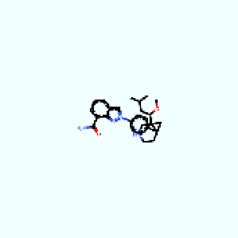 COC(CC(C)C)C12CNCCC1(c1ccc(-n3cc4cccc(C(N)=O)c4n3)cc1)C2